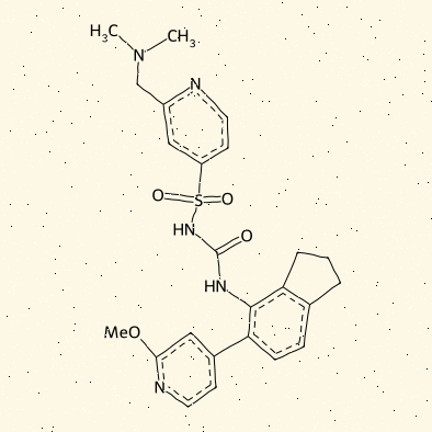 COc1cc(-c2ccc3c(c2NC(=O)NS(=O)(=O)c2ccnc(CN(C)C)c2)CCC3)ccn1